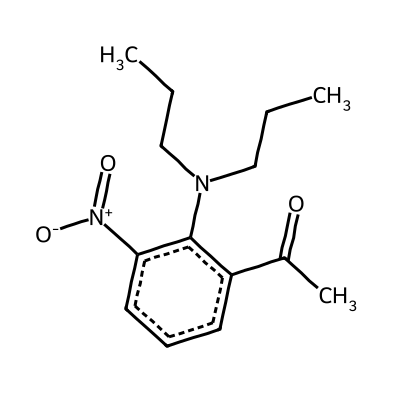 CCCN(CCC)c1c(C(C)=O)cccc1[N+](=O)[O-]